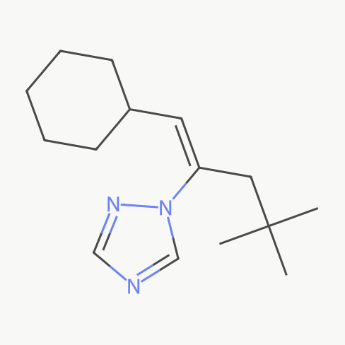 CC(C)(C)CC(=CC1CCCCC1)n1cncn1